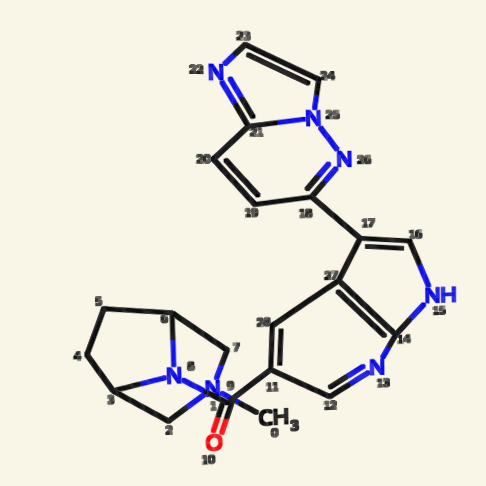 CN1CC2CCC(C1)N2C(=O)c1cnc2[nH]cc(-c3ccc4nccn4n3)c2c1